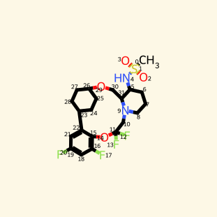 CS(=O)(=O)NC1CCCN2CC(F)(F)Oc3c(F)cc(F)cc3C3CCC(CC3)OCC12